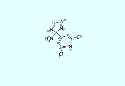 NC1(c2cc(Cl)nc(Cl)c2)N=CN=N1